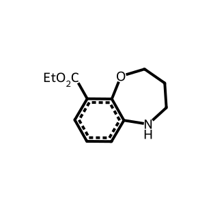 CCOC(=O)c1cccc2c1OCCCN2